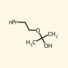 [CH2]C(C)(O)OCCCCC